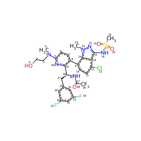 CN(CCO)c1ccc(-c2ccc(Cl)c3c(NS(C)(=O)=O)nn(C)c23)c([C@H](Cc2cc(F)cc(F)c2)NC(=O)C(F)(F)F)n1